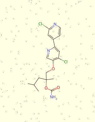 CC(C)CC(C)(COc1cnc(-c2ccnc(Cl)c2)cc1Cl)OC(N)=O